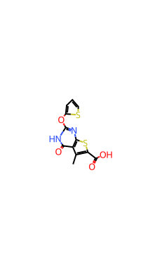 Cc1c(C(=O)O)sc2nc(Oc3cccs3)[nH]c(=O)c12